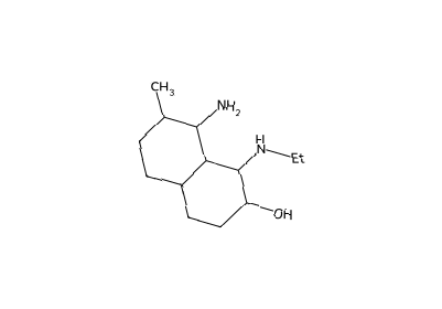 CCNC1C(O)CCC2CCC(C)C(N)C21